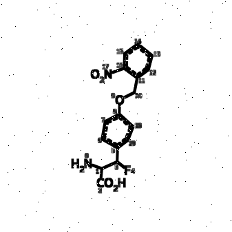 NC(C(=O)O)C(F)c1ccc(OCc2ccccc2[N+](=O)[O-])cc1